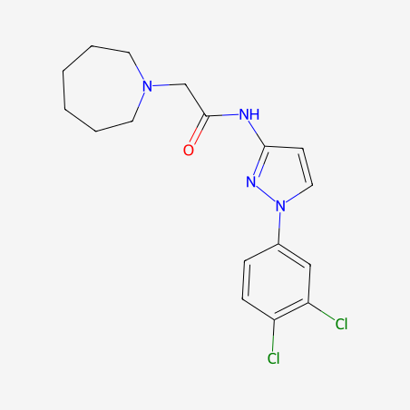 O=C(CN1CCCCCC1)Nc1ccn(-c2ccc(Cl)c(Cl)c2)n1